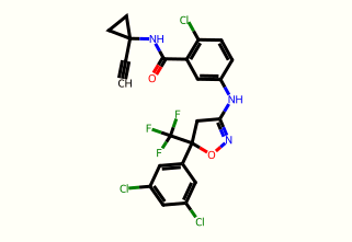 C#CC1(NC(=O)c2cc(NC3=NOC(c4cc(Cl)cc(Cl)c4)(C(F)(F)F)C3)ccc2Cl)CC1